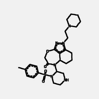 Cc1ccc(S(=O)(=O)N2CCNCC2N2C(=O)COc3nn(CCN4CCCCC4)c4c3C2CCC4)cc1